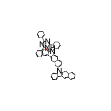 C1=CC2=Cc3c(n(C4=CC=C5C=c6c(c7ccccc7n6C6=C(C7N=C(c8ccccc8)N=C(c8ccccc8)N7)CCC=C6)=CC5C4)c4ccccc34)CC2C=C1